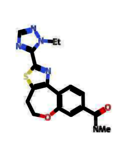 CCn1ncnc1-c1nc2c(s1)CCOc1cc(C(=O)NC)ccc1-2